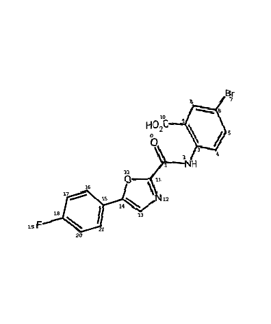 O=C(Nc1ccc(Br)cc1C(=O)O)c1ncc(-c2ccc(F)cc2)o1